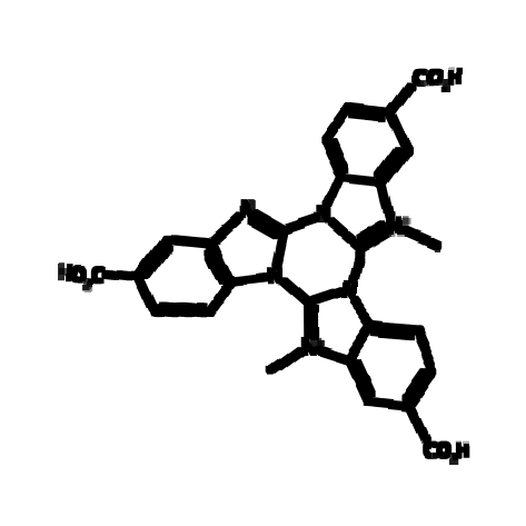 C[n+]1c2cc(C(=O)O)ccc2n2c1n1c3ccc(C(=O)O)cc3nc1n1c3ccc(C(=O)O)cc3[n+](C)c12